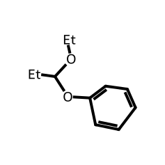 CCOC(CC)Oc1ccccc1